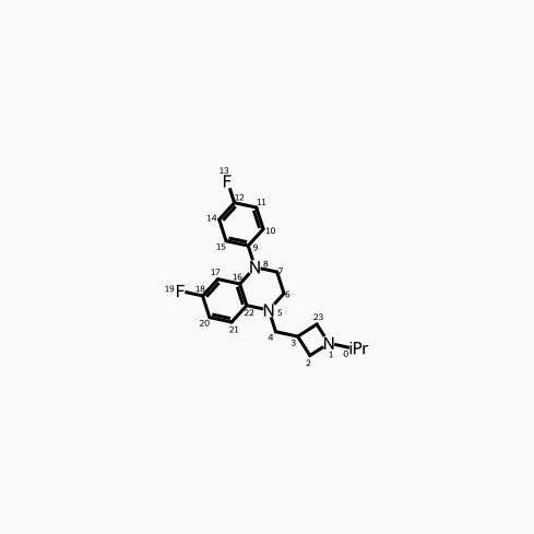 CC(C)N1CC(CN2CCN(c3ccc(F)cc3)c3cc(F)ccc32)C1